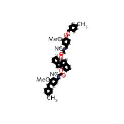 COc1cc(/C=C(\C#N)C(=O)Oc2cccc3c2C2(CCc4cccc(OOC/C(C#N)=C/c5ccc(OOCc6ccc(C)cc6)c(OC)c5)c42)CC3)ccc1Cc1ccc(C)cc1